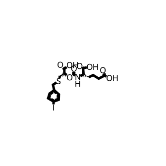 O=C(O)CCC[C@H](NC(=O)O[C@@H](CSCc1ccc(I)cc1)C(=O)O)C(=O)O